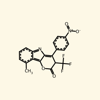 Cc1cccc2c1=C1OC(=O)C(C(F)(F)F)C(c3ccc([N+](=O)[O-])cc3)=C1N=2